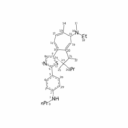 CCCNc1ccc(-c2ncc(C3=CC=C(C)C(N(C)CC)C=C3C(C)C(C)(C)C(C)C)s2)cc1